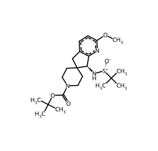 COc1ccc2c(n1)[C@@H](N[S@+]([O-])C(C)(C)C)C1(CCN(C(=O)OC(C)(C)C)CC1)C2